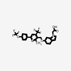 Cc1nc(-c2ccc(OC(F)(F)F)cc2)cc(C(F)(F)F)c1COc1ccc2ccn(CC(=O)O)c2c1